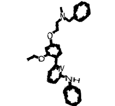 CCOc1cc(OCCN(C)Cc2ccccc2)ccc1-c1cccc(Nc2ccccc2)n1